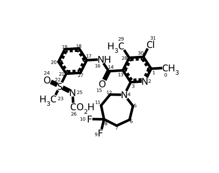 Cc1nc(N2CCCC(F)(F)CC2)c(C(=O)Nc2cccc(S(C)(=O)=NC(=O)O)c2)c(C)c1Cl